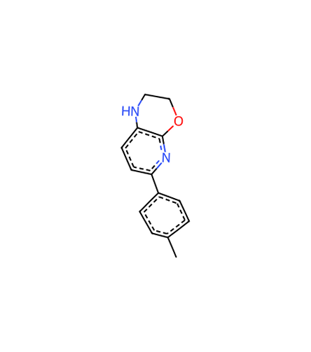 Cc1ccc(-c2ccc3c(n2)OCCN3)cc1